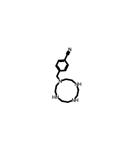 N#Cc1ccc(CN2CCNCCNCCNCC2)cc1